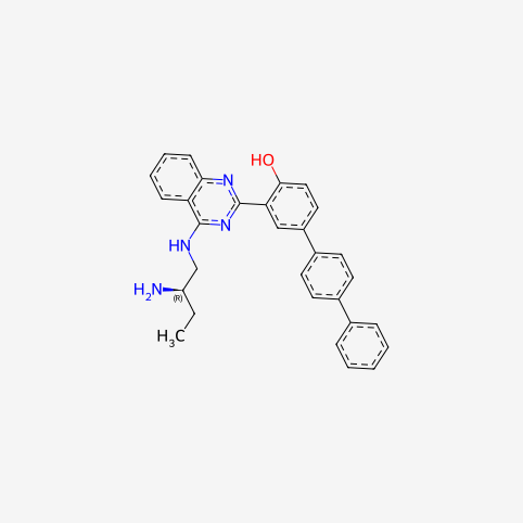 CC[C@@H](N)CNc1nc(-c2cc(-c3ccc(-c4ccccc4)cc3)ccc2O)nc2ccccc12